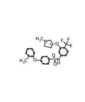 Cc1ccccc1Oc1ccc(S(=O)(=O)Nc2ccc(C(F)(F)F)c(O[C@@H]3CCN(C)C3)c2)cc1